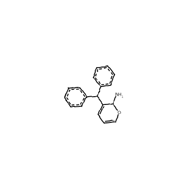 NC1OC=CC=C1C(c1ccccc1)c1ccccc1